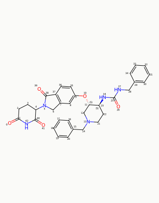 O=C1CCC(N2Cc3cc(O[C@H]4CN(Cc5ccccc5)CC[C@@H]4NC(=O)NCc4ccccc4)ccc3C2=O)C(=O)N1